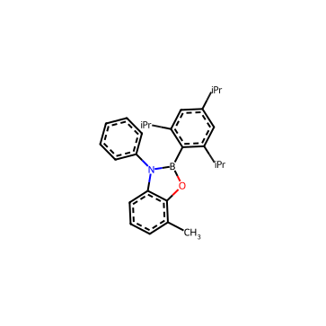 Cc1cccc2c1OB(c1c(C(C)C)cc(C(C)C)cc1C(C)C)N2c1ccccc1